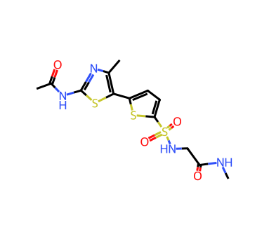 CNC(=O)CNS(=O)(=O)c1ccc(-c2sc(NC(C)=O)nc2C)s1